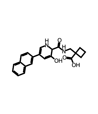 O=C(NCC1(C(=O)O)CCC1)C1NC=C(c2ccc3ccccc3c2)C=C1O